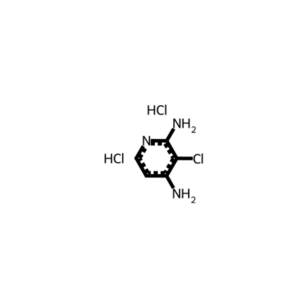 Cl.Cl.Nc1ccnc(N)c1Cl